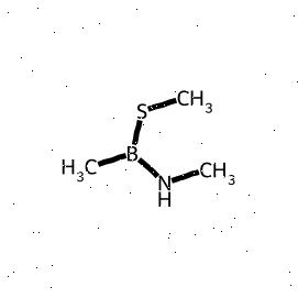 CNB(C)SC